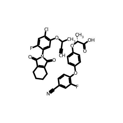 C#CC(C)Oc1cc(N2C(=O)C3=C(CCCC3)C2=O)c(F)cc1Cl.C[C@@H](Oc1ccc(Oc2ccc(C#N)cc2F)cc1)C(=O)O